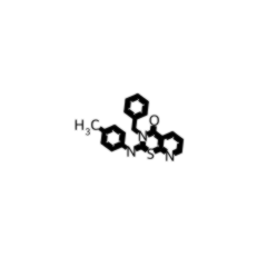 Cc1ccc(N=c2sc3ncccc3c(=O)n2Cc2ccccc2)cc1